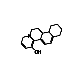 OC1=C2C3=CC=C4CCCCC4C3CCN2CC=C1